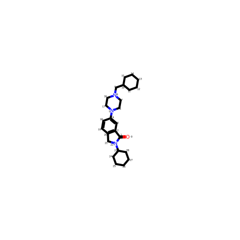 O=C1c2cc(N3CCN(CC4CCCCC4)CC3)ccc2CN1C1CCCCC1